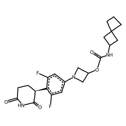 O=C1CC[C@@H](c2c(F)cc(N3CC(OC(=O)NC4CC5(CCC5)C4)C3)cc2F)C(=O)N1